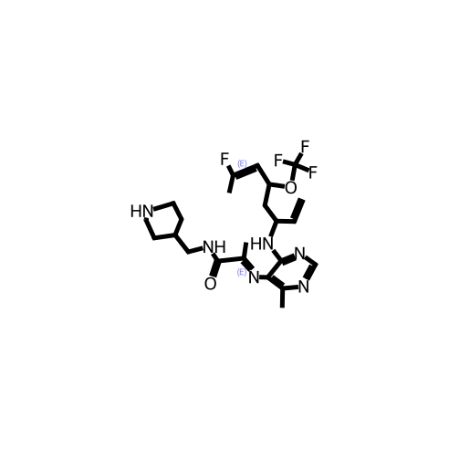 C=CC(CC(/C=C(\C)F)OC(F)(F)F)Nc1ncnc(C)c1/N=C(\C)C(=O)NCC1CCNCC1